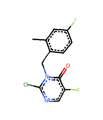 Cc1cc(F)ccc1Cn1c(Cl)ncc(F)c1=O